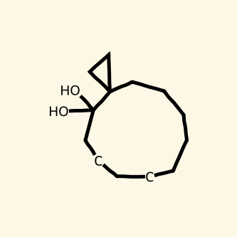 OC1(O)CCCCCCCCCC12CC2